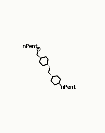 CCCCCOC[C@H]1CC[C@H](CC[C@H]2CC[C@H](CCCCC)CC2)CC1